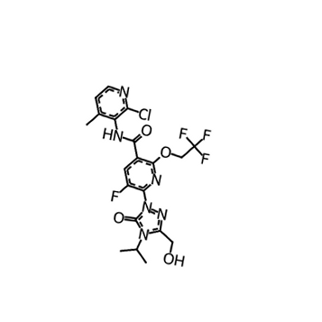 Cc1ccnc(Cl)c1NC(=O)c1cc(F)c(-n2nc(CO)n(C(C)C)c2=O)nc1OCC(F)(F)F